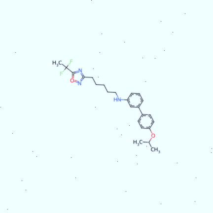 CC(C)Oc1ccc(-c2cccc(NCCCCCc3noc(C(C)(F)F)n3)c2)cc1